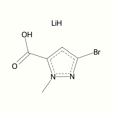 Cn1nc(Br)cc1C(=O)O.[LiH]